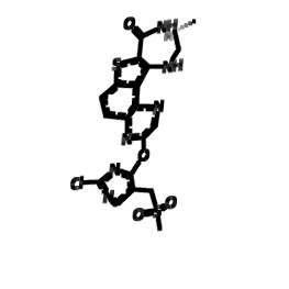 C[C@@H]1CNc2c(sc3ccc4nc(Oc5nc(Cl)ncc5CS(C)(=O)=O)cnc4c23)C(=O)N1